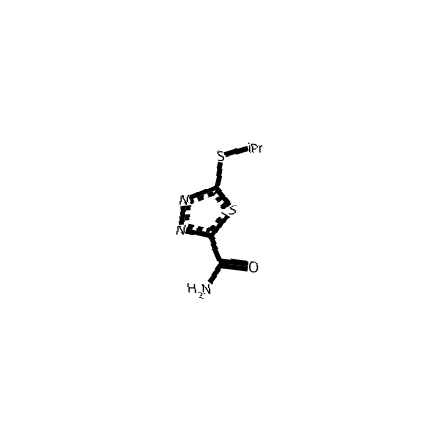 CC(C)Sc1nnc(C(N)=O)s1